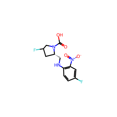 O=C(O)N1CC(F)C[C@H]1CNc1ccc(F)cc1[N+](=O)[O-]